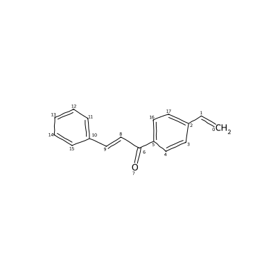 C=Cc1ccc(C(=O)C=Cc2ccccc2)cc1